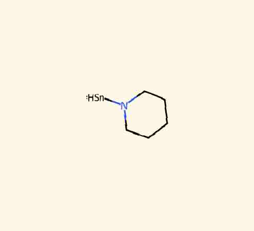 [SnH][N]1CCCCC1